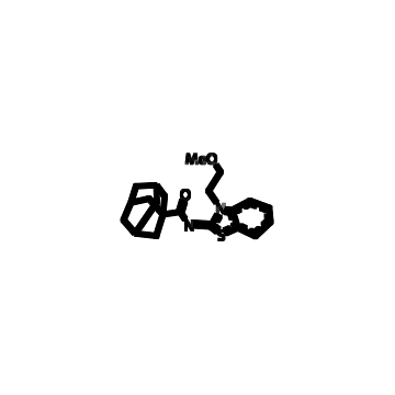 COCCn1c(=NC(=O)C23CC4CC(CC(C4)C2)C3)sc2ccccc21